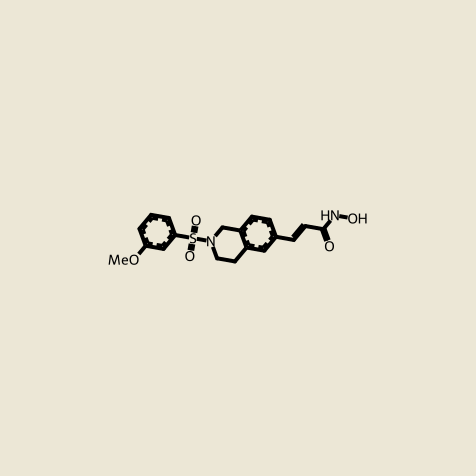 COc1cccc(S(=O)(=O)N2CCc3cc(/C=C/C(=O)NO)ccc3C2)c1